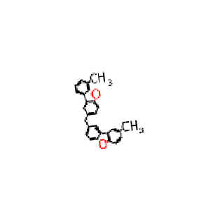 Cc1ccc2oc3ccc(Cc4ccc5oc6c(C)cccc6c5c4)cc3c2c1